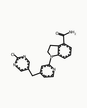 NC(=O)c1cccc2c1CCN2c1cc(Cc2cnc(Cl)nc2)ccn1